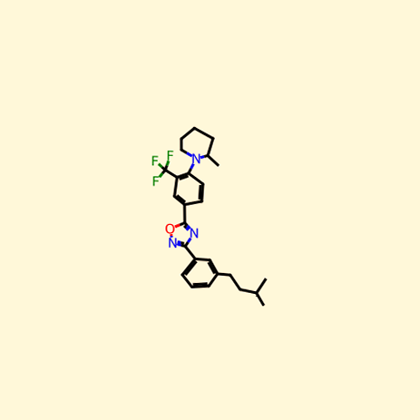 C[C](C)CCc1cccc(-c2noc(-c3ccc(N4CCCCC4C)c(C(F)(F)F)c3)n2)c1